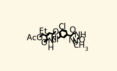 CCC(OC(C)=O)c1cc(Oc2c(Cl)cc(-c3nn(C)c(=O)[nH]c3=O)cc2Cl)n[nH]c1=O